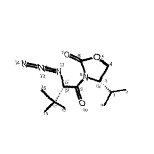 CC(C)[C@H]1COC(=O)N1C(=O)[C@@H](N=[N+]=[N-])C(C)(C)C